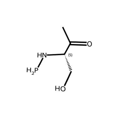 CC(=O)[C@H](CO)NP